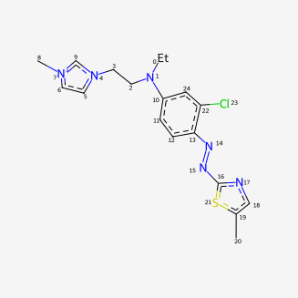 CCN(CCn1cc[n+](C)c1)c1ccc(N=Nc2ncc(C)s2)c(Cl)c1